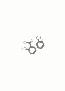 Cc1ccccc1.O=C(Cl)c1cccnc1O